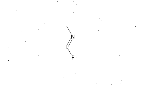 C/N=I/F